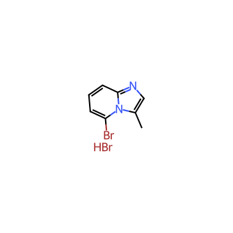 Br.Cc1cnc2cccc(Br)n12